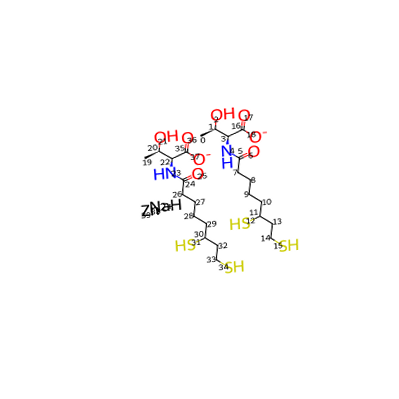 C[C@@H](O)[C@H](NC(=O)CCCCC(S)CCS)C(=O)[O-].C[C@@H](O)[C@H](NC(=O)CCCCC(S)CCS)C(=O)[O-].[NaH].[Zn+2]